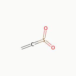 C=C=S(=O)=O